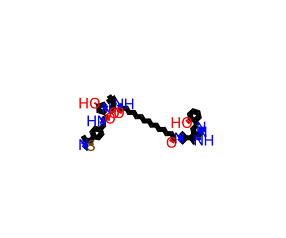 Cc1ncsc1-c1ccc(CNC(=O)[C@@H]2C[C@@H](O)CN2C(=O)[C@@H](NC(=O)CCCCCCCCCCCCCC(=O)N2CC(c3c[nH]c4nnc(-c5ccccc5O)cc34)C2)C(C)(C)C)cc1